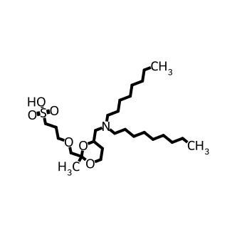 CCCCCCCCCN(CCCCCCCC)CC1CCOC(C)(COCCCS(=O)(=O)O)O1